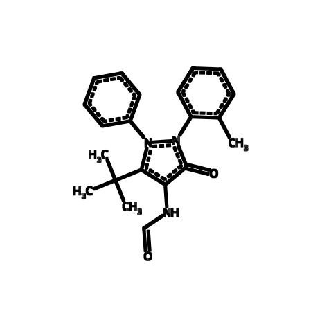 Cc1ccccc1-n1c(=O)c(NC=O)c(C(C)(C)C)n1-c1ccccc1